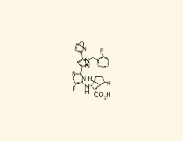 O=C(O)[C@]12C3[C@@H](CC[C@@H]31)[C@H]2Nc1nc(-c2cc(-c3ccon3)n(Cc3ccccc3F)n2)ncc1F